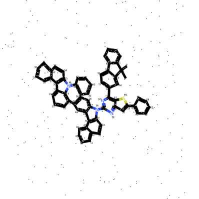 CC1(C)c2ccccc2-c2ccc(-c3nc(-n4c5ccc(-c6cccc7c8c9ccccc9ccc8n(-c8ccccc8)c67)cc5c5c6ccccc6ccc54)nc4cc(-c5ccccc5)sc34)cc21